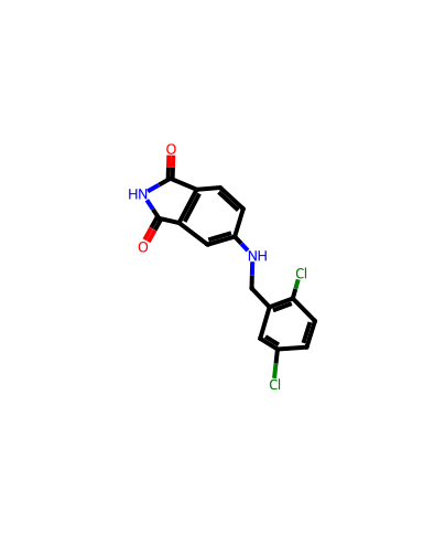 O=C1NC(=O)c2cc(NCc3cc(Cl)ccc3Cl)ccc21